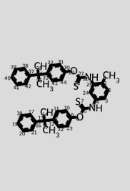 Cc1ccc(NC(=S)Oc2ccc(C(C)(C)c3ccccc3)cc2)cc1NC(=S)Oc1ccc(C(C)(C)c2ccccc2)cc1